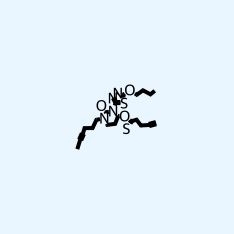 C#CCCC(=S)OC1CCN(CCCC#CC)C(=O)N1c1nnc(OCCCC)s1